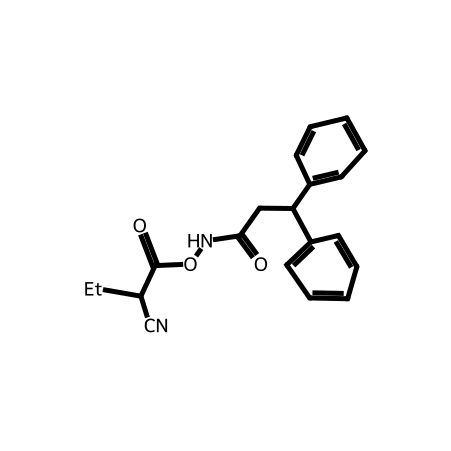 CCC(C#N)C(=O)ONC(=O)CC(c1ccccc1)c1ccccc1